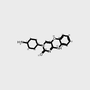 NC1CCC(n2cc3c(nc2=O)Nc2ccccc2O3)CC1